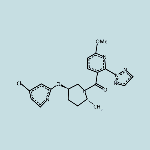 COc1ccc(C(=O)N2C[C@H](Oc3cc(Cl)ccn3)CC[C@H]2C)c(-n2nccn2)n1